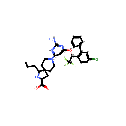 CCCC1NC(C(=O)O)CC12CCN(c1cc(O[C@H](c3ccc(Cl)cc3-c3ccccc3)C(F)(F)F)nc(N)n1)CC2